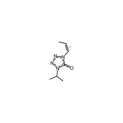 C/C=C\n1nnn(C(C)C)c1=O